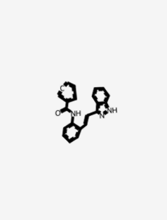 O=C(Nc1ccccc1C=Cc1n[nH]c2ccccc12)c1ccccc1